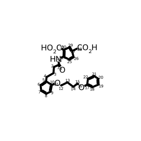 O=C(CCCc1ccccc1OCCCCOc1ccccc1)Nc1ccc(C(=O)O)cc1C(=O)O